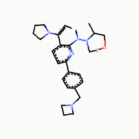 C/C=C(\c1ccc(-c2ccc(CN3CCC3)cc2)nc1N(C)N1CCOCC1C)N1CCCC1